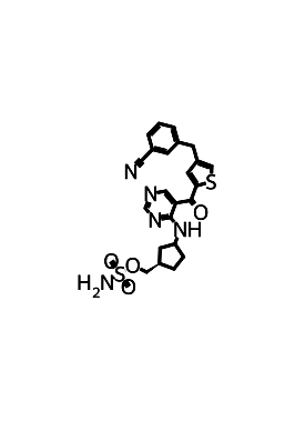 N#Cc1cccc(Cc2csc(C(=O)c3cncnc3NC3CC[C@@H](COS(N)(=O)=O)C3)c2)c1